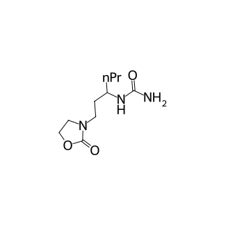 CCCC(CCN1CCOC1=O)NC(N)=O